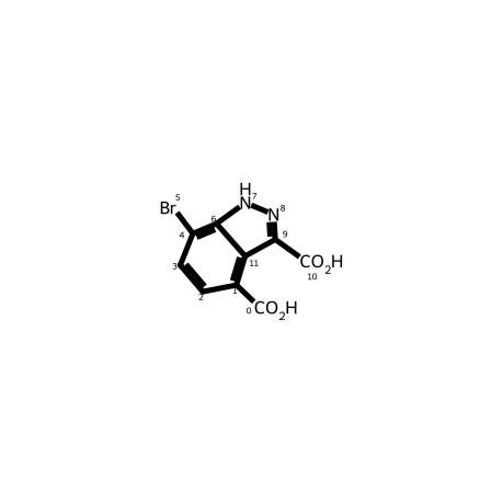 O=C(O)c1ccc(Br)c2[nH]nc(C(=O)O)c12